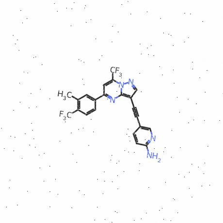 Cc1cc(-c2cc(C(F)(F)F)n3ncc(C#Cc4ccc(N)nc4)c3n2)ccc1C(F)(F)F